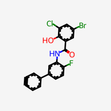 O=C(Nc1cc(-c2cc#ccc2)ccc1F)c1cc(Br)cc(Cl)c1O